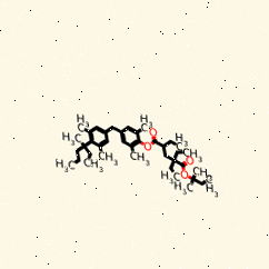 CCCC(C)(CC)c1c(C)cc(Cc2cc(C)c(OC(=O)C(CC)CC(CC)(CC)C(=O)OC(C)(C)CC)c(C)c2)cc1C